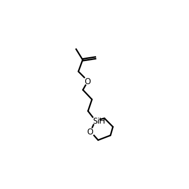 C=C(C)COCCC[SiH]1CCCCO1